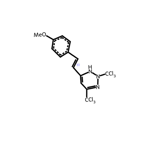 COc1ccc(/C=C/C2=CC(C(Cl)(Cl)Cl)=NN(C(Cl)(Cl)Cl)N2)cc1